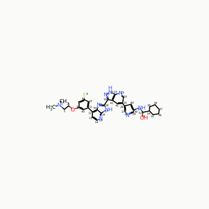 CN(C)CCOc1cc(F)cc(-c2ccnc3[nH]c(-c4n[nH]c5ncc(-c6cncc(NC(O)C7CCCCC7)c6)cc45)nc23)c1